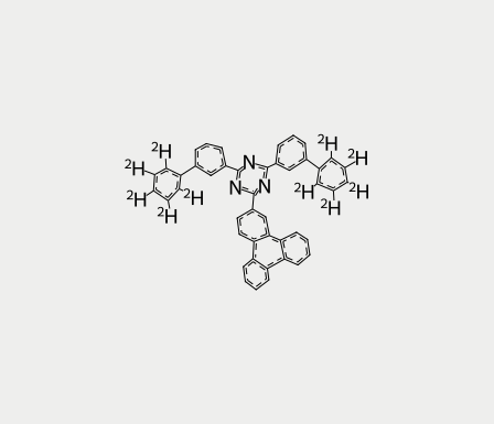 [2H]c1c([2H])c([2H])c(-c2cccc(-c3nc(-c4cccc(-c5c([2H])c([2H])c([2H])c([2H])c5[2H])c4)nc(-c4ccc5c6ccccc6c6ccccc6c5c4)n3)c2)c([2H])c1[2H]